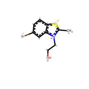 Cc1sc2ccc(Br)cc2[n+]1CCO